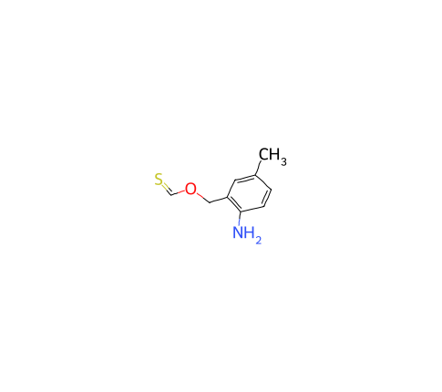 Cc1ccc(N)c(COC=S)c1